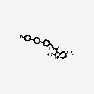 Cc1ccn2nc(C)c(C(=O)NCc3ccc(N4CCC(c5ccc(F)cc5)CC4)cc3)c2c1